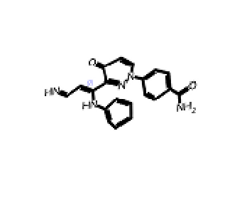 N=C/C=C(\Nc1ccccc1)c1nn(-c2ccc(C(N)=O)cc2)ccc1=O